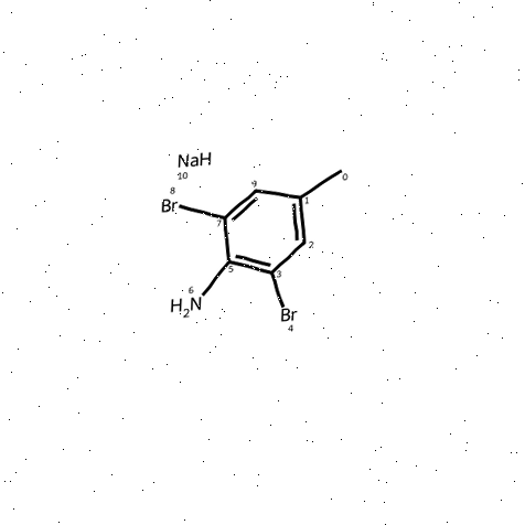 Cc1cc(Br)c(N)c(Br)c1.[NaH]